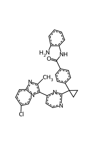 Cc1nc2ccc(Cl)cn2c1-c1ccnc(C2(c3ccc(C(=O)Nc4ccccc4N)cc3)CC2)n1